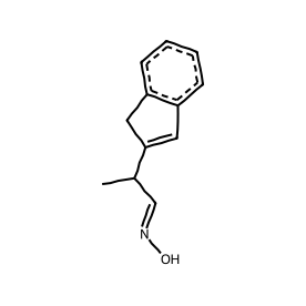 CC(C=NO)C1=Cc2ccccc2C1